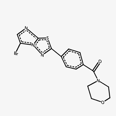 O=C(c1ccc(-c2nn3c(Br)cnc3s2)cc1)N1CCOCC1